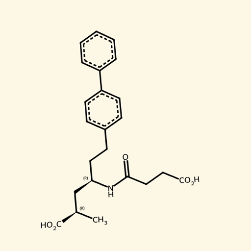 C[C@H](C[C@@H](CCc1ccc(-c2ccccc2)cc1)NC(=O)CCC(=O)O)C(=O)O